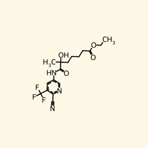 CCOC(=O)CCCCC(C)(O)C(=O)Nc1cnc(C#N)c(C(F)(F)F)c1